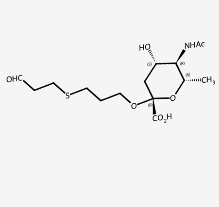 CC(=O)N[C@H]1[C@H](C)O[C@@](OCCCSCCC=O)(C(=O)O)C[C@@H]1O